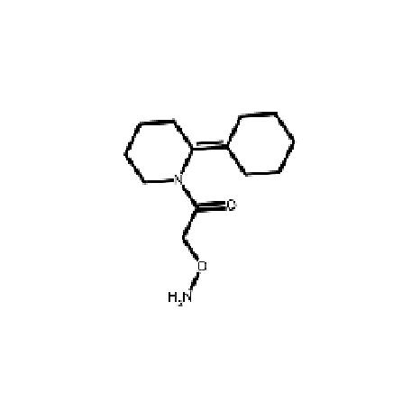 NOCC(=O)N1CCCCC1=C1CCCCC1